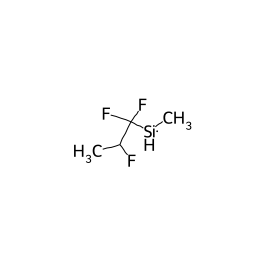 C[SiH]C(F)(F)C(C)F